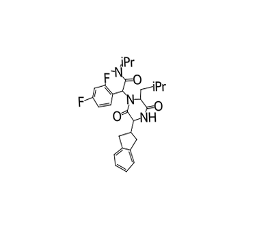 CC(C)CC1C(=O)NC(C2Cc3ccccc3C2)C(=O)N1C(C(=O)N(C)C(C)C)c1ccc(F)cc1F